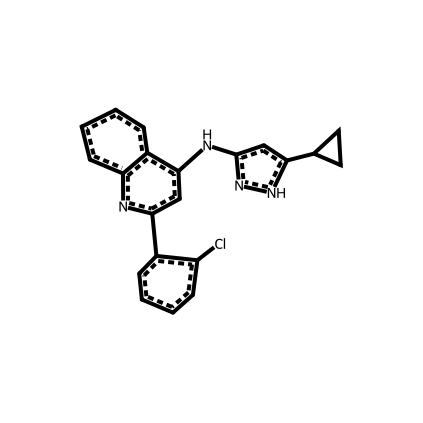 Clc1ccccc1-c1cc(Nc2cc(C3CC3)[nH]n2)c2ccccc2n1